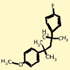 COc1ccc(C(C)(C)CC(C)(C)c2ccc(F)cc2)cc1